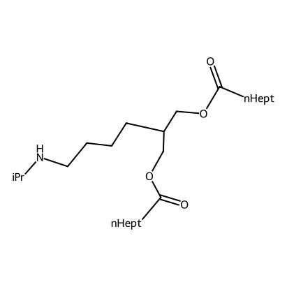 CCCCCCCC(=O)OCC(CCCCNC(C)C)COC(=O)CCCCCCC